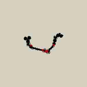 CCC(C)(CC(C)(C)C(=O)OCCCCCCCCCCCOc1ccc(-c2nnc(-c3ccc(N(c4ccccc4)c4ccccc4)cc3)o2)cc1)C(=O)OCCCCCCOc1ccc(-c2ccc(-c3nnc(-c4ccc5c(c4)c4ccccc4n5C)o3)cc2)cc1